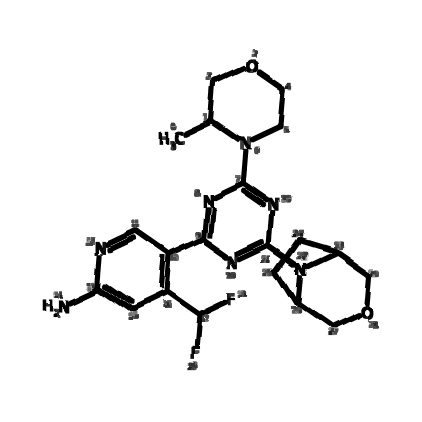 CC1COCCN1c1nc(-c2cnc(N)cc2C(F)F)nc(N2C3CCC2COC3)n1